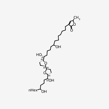 CCCCCCC(O)CCC[C@H](O)[C@H]1CC[C@H]([C@H]2CC[C@H]([C@H](O)CCCCC(O)CCCCCCCC3=CC(C)OC3=O)O2)O1